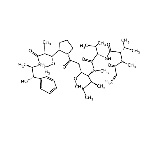 C=CC(=O)N(C)[C@H](C(=O)N[C@H](C(=O)N(C)[C@@H]([C@@H](C)CC)[C@@H](CC(=O)N1CCC[C@H]1[C@H](OC)[C@@H](C)C(=O)N[C@H](C)[C@@H](O)c1ccccc1)OC)C(C)C)C(C)C